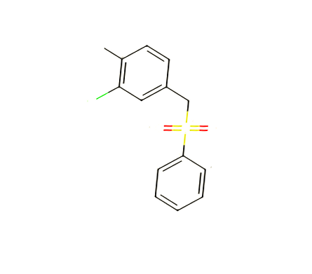 Cc1ccc(CS(=O)(=O)c2ccccc2)cc1Cl